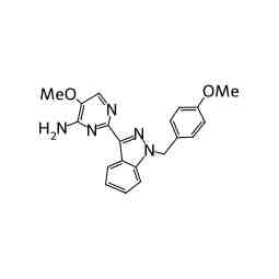 COc1ccc(Cn2nc(-c3ncc(OC)c(N)n3)c3ccccc32)cc1